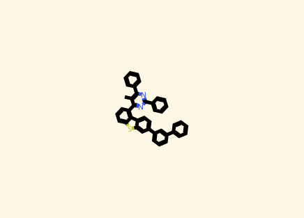 Cc1c(-c2ccccc2)nc(-c2ccccc2)nc1-c1cccc2sc3cc(-c4cccc(-c5ccccc5)c4)ccc3c12